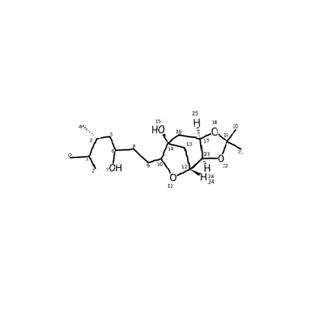 CC(C)[C@H](C)CC(O)CCC1O[C@@H]2C[C@@]1(O)C[C@H]1OC(C)(C)O[C@@H]21